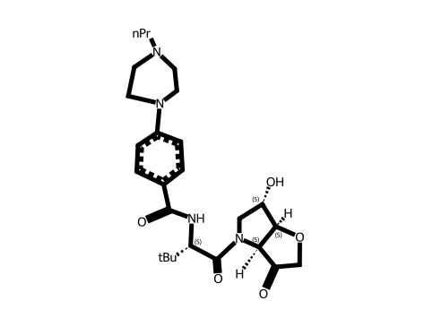 CCCN1CCN(c2ccc(C(=O)N[C@H](C(=O)N3C[C@H](O)[C@H]4OCC(=O)[C@H]43)C(C)(C)C)cc2)CC1